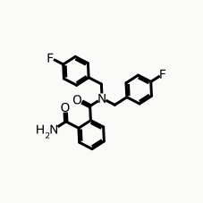 NC(=O)c1ccccc1C(=O)N(Cc1ccc(F)cc1)Cc1ccc(F)cc1